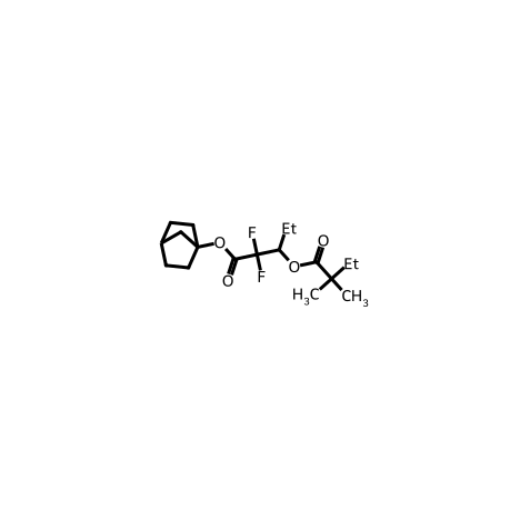 CCC(OC(=O)C(C)(C)CC)C(F)(F)C(=O)OC12CCC(CC1)C2